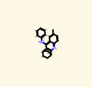 Cc1ccc2nc3c(c(Nc4ccccc4)c2c1)C1CCC3CC1